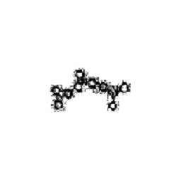 c1ccc(-c2cc(-c3ccccc3)nc(-c3ccc4c(c3)oc3cc(-n5c6ccccc6c6cc(-c7ccc8c(c7)c7ccccc7n8-c7ccccc7)ccc65)ccc34)n2)cc1